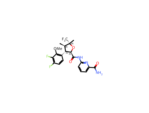 COc1c([C@@H]2[C@@H](C)[C@](C)(C(F)(F)F)O[C@H]2C(=O)Nc2cccc(C(N)=O)n2)ccc(F)c1F